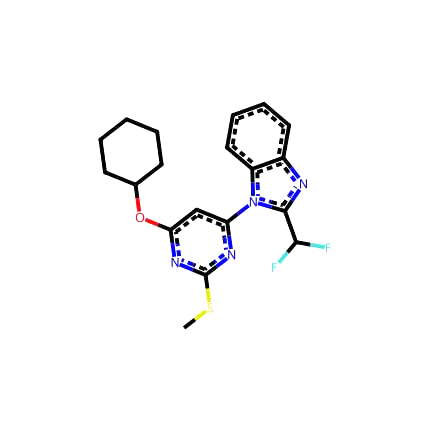 CSc1nc(OC2CCCCC2)cc(-n2c(C(F)F)nc3ccccc32)n1